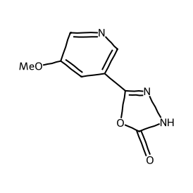 COc1cncc(-c2n[nH]c(=O)o2)c1